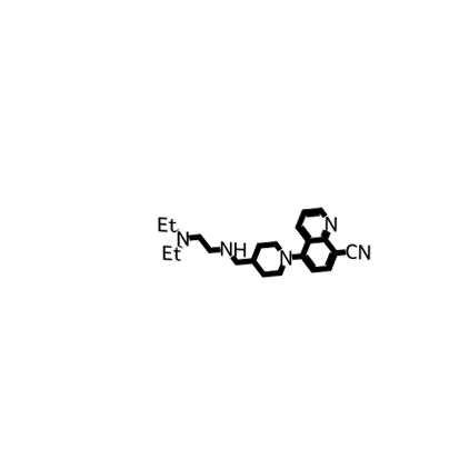 CCN(CC)CCNCC1CCN(c2ccc(C#N)c3ncccc23)CC1